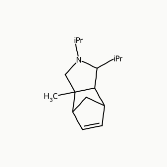 CC(C)C1C2C3C=CC(C3)C2(C)CN1C(C)C